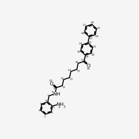 Nc1ccccc1CNC(=O)CCCCCCC(=O)c1ccc(-c2ccccc2)cc1